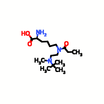 CCC(=O)N(CCCC[C@H](N)C(=O)O)CCN(C)C(C)(C)C